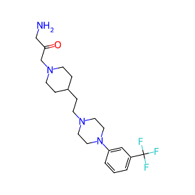 NCC(=O)CN1CCC(CCN2CCN(c3cccc(C(F)(F)F)c3)CC2)CC1